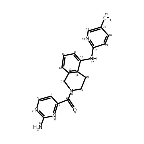 Nc1nccc(C(=O)N2CCc3c(cccc3Nc3ccc(C(F)(F)F)cn3)C2)n1